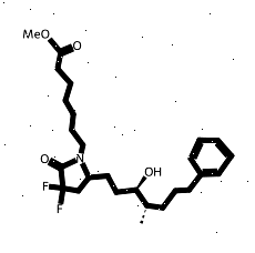 COC(=O)CCCCCCN1C(=O)C(F)(F)CC1CC[C@@H](O)[C@@H](C)CCCc1ccccc1